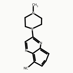 CN1CCN(c2cnc3c(C#N)cccc3n2)CC1